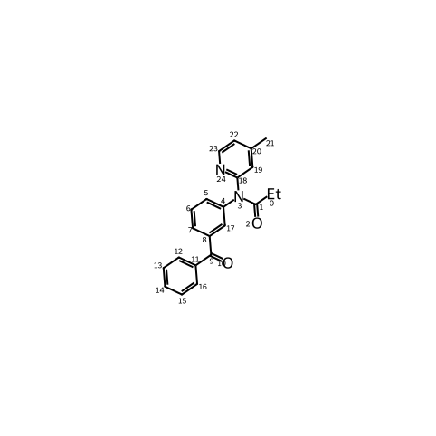 CCC(=O)N(c1cccc(C(=O)c2ccccc2)c1)c1cc(C)ccn1